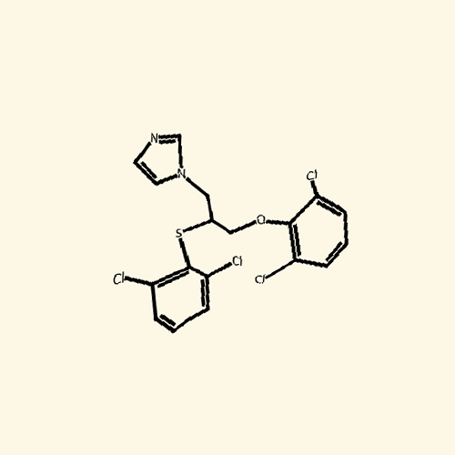 Clc1cccc(Cl)c1OCC(Cn1ccnc1)Sc1c(Cl)cccc1Cl